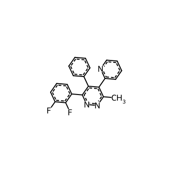 Cc1nnc(-c2cccc(F)c2F)c(-c2ccccc2)c1-c1ccccn1